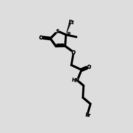 CC[C@@]1(C)SC(=O)C=C1OCC(=O)NCCCBr